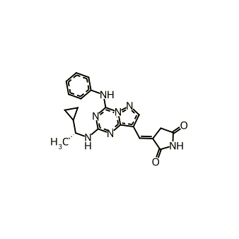 C[C@@H](Nc1nc(Nc2ccccc2)n2ncc(/C=C3\CC(=O)NC3=O)c2n1)C1CC1